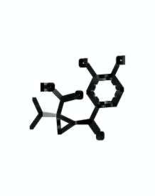 CC(C)[C@@]1(C(=O)O)C[C@@H]1C(=O)c1ccc(Cl)c(Cl)c1